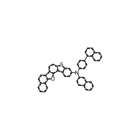 c1ccc2cc(N(c3ccc(-c4cccc5ccccc45)cc3)c3ccc4c(c3)sc3ccc5c6ccc7ccccc7c6oc5c34)ccc2c1